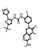 CNc1ncc2cc(-c3ccc(F)c(NC(=O)Nc4cc(C(C)(C)C)nn4-c4cnsc4)c3)c(=O)n(C)c2n1